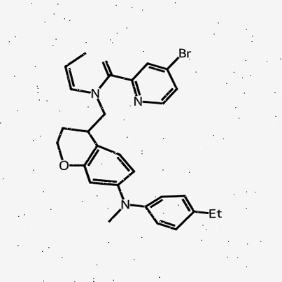 C=C(c1cc(Br)ccn1)N(/C=C\C)CC1CCOc2cc(N(C)c3ccc(CC)cc3)ccc21